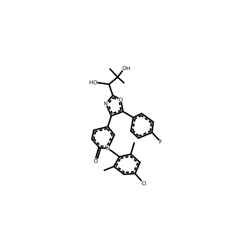 Cc1cc(Cl)cc(C)c1-n1cc(-c2nc(C(O)C(C)(C)O)oc2-c2ccc(F)cc2)ccc1=O